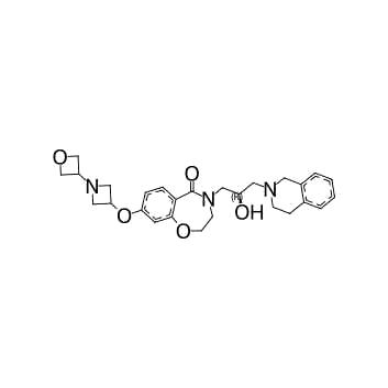 O=C1c2ccc(OC3CN(C4COC4)C3)cc2OCCN1C[C@H](O)CN1CCc2ccccc2C1